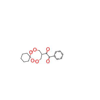 O=C(C(=O)C1COOC2(CCCCC2)OOC1)c1ccccc1